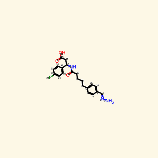 NN=Cc1ccc(CCCCC(=O)NC(CC(=O)O)c2ccc(F)cc2)cc1